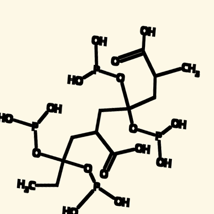 CCC(CC(CC(CC(C)C(=O)O)(OP(O)O)OP(O)O)C(=O)O)(OP(O)O)OP(O)O